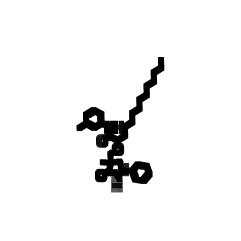 CCCCCCCCCCCCC(OCC1(C)CN(c2ccccc2)NC1=O)C(=O)Nc1cccc(C)c1